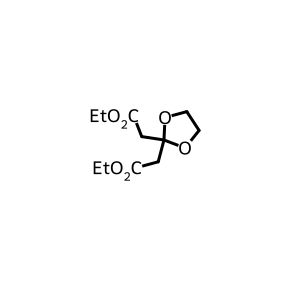 CCOC(=O)CC1(CC(=O)OCC)OCCO1